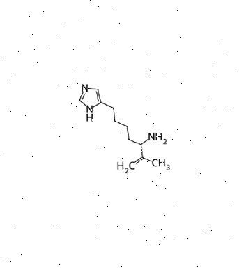 C=C(C)C(N)CCCCc1cnc[nH]1